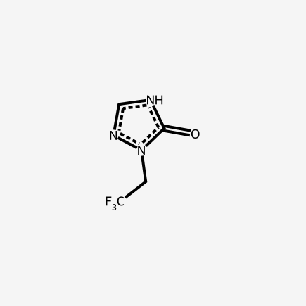 O=c1[nH]cnn1CC(F)(F)F